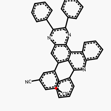 N#Cc1cc(C#N)cc(-c2cc3nc(-c4ccccc4)c(-c4ccccc4)nc3c3c2c(-c2ccccc2)nc2ccccc23)c1